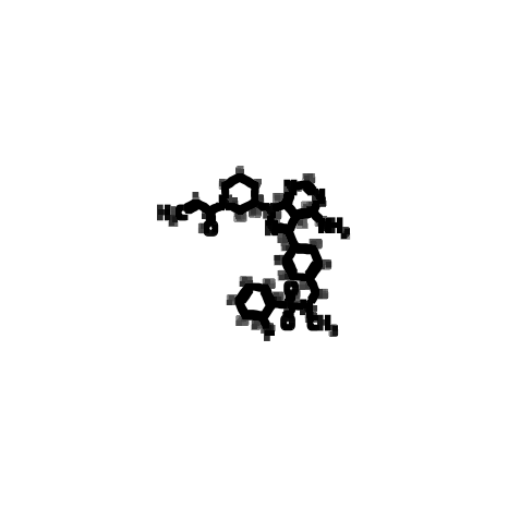 C=CC(=O)N1CCC[C@@H](n2nc(-c3ccc(CN(C)S(=O)(=O)c4ccccc4F)cc3)c3c(N)ncnc32)C1